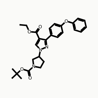 CCOC(=O)c1cn(C2CCN(C(=O)OC(C)(C)C)C2)nc1-c1ccc(Oc2ccccc2)cc1